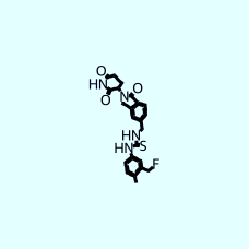 Cc1ccc(NC(=S)NCc2ccc3c(c2)CN(C2CCC(=O)NC2=O)C3=O)cc1CF